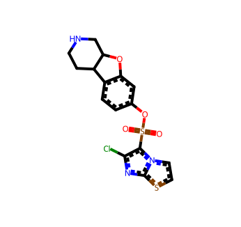 O=S(=O)(Oc1ccc2c(c1)OC1CNCCC21)c1c(Cl)nc2sccn12